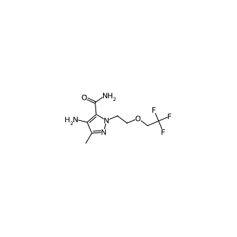 Cc1nn(CCOCC(F)(F)F)c(C(N)=O)c1N